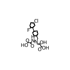 O=C(O)C(=O)NN(Cc1ccc(-c2cc(Cl)ccc2F)cc1)C[C@@H](O)C(=O)O